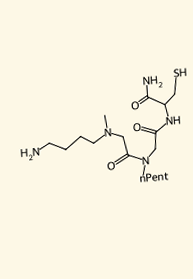 CCCCCN(CC(=O)NC(CS)C(N)=O)C(=O)CN(C)CCCCN